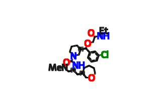 CCNC(=O)COC(c1cccc(Cl)c1)[C@@H]1CCCN(C(=O)N[C@H](CNC)C[C@H]2CCCCOC2)C1